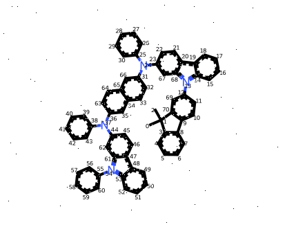 CC1(C)c2ccccc2-c2ccc(-n3c4ccccc4c4ccc(N(c5ccccc5)c5ccc6cc(N(c7ccccc7)c7ccc8c9ccccc9n(-c9ccccc9)c8c7)ccc6c5)cc43)cc21